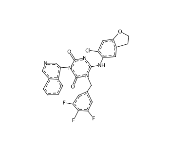 O=c1nc(Nc2cc3c(cc2Cl)OCC3)n(Cc2cc(F)c(F)c(F)c2)c(=O)n1-c1cncc2ccccc12